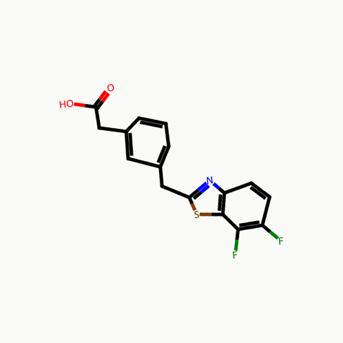 O=C(O)Cc1cccc(Cc2nc3ccc(F)c(F)c3s2)c1